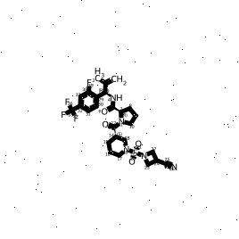 C=C(C)[C@@H](NC(=O)[C@H]1CCCN1C(=O)[C@H]1CCCN(S(=O)(=O)N2CC(C#N)C2)C1)c1ccc(C(F)(F)F)cc1F